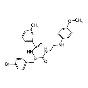 COc1ccc(NCCNC(=O)[C@H](Cc2ccc(Br)cc2)NC(=O)c2cccc(C)c2)cc1